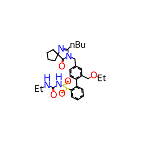 CCCCC1=NC2(CCCC2)C(=O)N1Cc1ccc(-c2ccccc2S(=O)(=O)NC(=O)NCC)c(COCC)c1